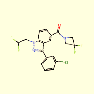 O=C(c1ccc2c(c1)c(-c1cccc(Cl)c1)nn2CC(F)F)N1CC(F)(F)C1